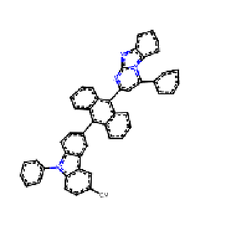 N#Cc1ccc2c(c1)c1cc(-c3c4ccccc4c(-c4cc(-c5ccccc5)n5c(n4)nc4ccccc45)c4ccccc34)ccc1n2-c1ccccc1